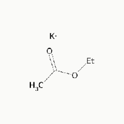 CCOC(C)=O.[K]